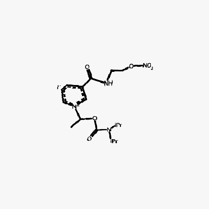 CC(C)N(C(=O)OC(C)[n+]1cccc(C(=O)NCCO[N+](=O)[O-])c1)C(C)C.[I-]